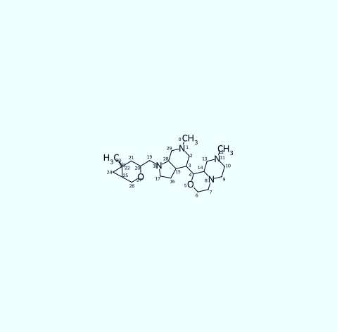 CN1CC(C2OCCN3CCN(C)CC23)C2CCN(CC3C[C@@]4(C)CC4CO3)C2C1